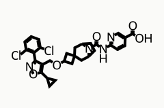 O=C(O)c1ccc(NC(=O)N2C3CCC2CC2(CC(OCc4c(-c5c(Cl)cccc5Cl)noc4C4CC4)C2)C3)nc1